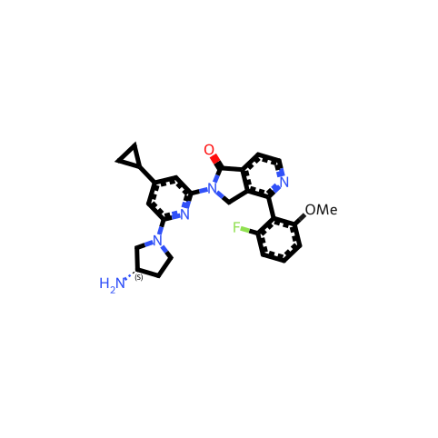 COc1cccc(F)c1-c1nccc2c1CN(c1cc(C3CC3)cc(N3CC[C@H](N)C3)n1)C2=O